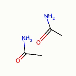 CC(N)=O.CC(N)=O